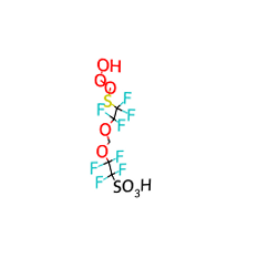 O=S(=O)(O)C(F)(F)C(F)(F)OCOC(F)(F)C(F)(F)SOOO